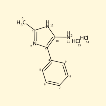 Cc1nc(-c2ccccc2)c(N)[nH]1.Cl.Cl